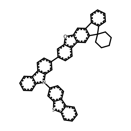 c1ccc2c(c1)-c1cc3oc4cc(-c5ccc6c7ccccc7n(-c7ccc8c(c7)sc7ccccc78)c6c5)ccc4c3cc1C21CCCCC1